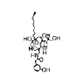 C#CCCCCCCS[C@]1(C(=O)O)C[C@H](O)[C@@H](NC(=O)CO)[C@H]([C@H](O)[C@H](O)CNC(=O)Cc2cccc(O)c2)O1